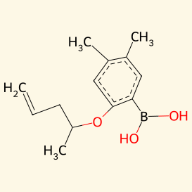 C=CCC(C)Oc1cc(C)c(C)cc1B(O)O